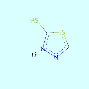 Sc1nncs1.[Li]